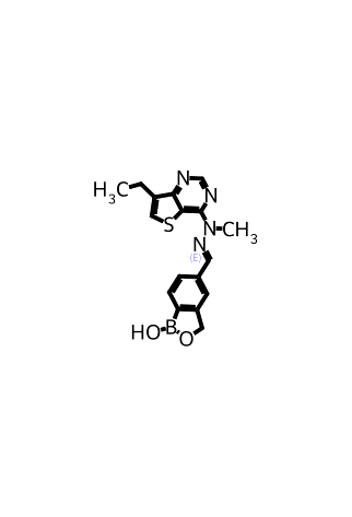 CCc1csc2c(N(C)/N=C/c3ccc4c(c3)COB4O)ncnc12